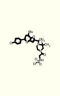 CCS(=O)(=O)NCC(=O)N1CCN(C(=O)c2cc3nc(-c4ccc(Cl)cc4)cc(C(C)(C)C)c3o2)C(C)(C)C1